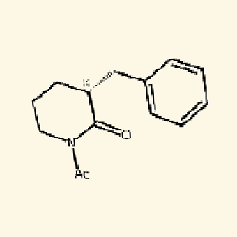 CC(=O)N1CCC[C@H](Cc2ccccc2)C1=O